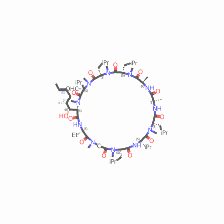 C/C=C/C[C@@H](C)[C@@H](O)[C@H]1C(=O)N[C@@H](CC)C(=O)N(C)CC(=O)N(C)[C@@H](CC(C)C)C(=O)N[C@@H](C(C)C)C(=O)N(C)[C@@H](CC(C)C)C(=O)N[C@@H](C)C(=O)N[C@H](C)C(=O)N(C)[C@@H](CC(C)C)C(=O)N(C)[C@@H](CC(C)C)C(=O)N(C)[C@](C=O)(C(C)C)C(=O)N1C